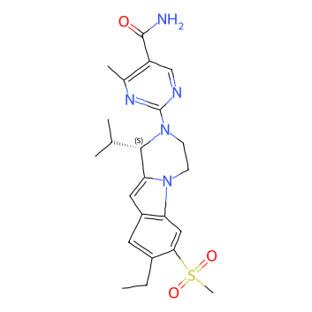 CCc1cc2cc3n(c2cc1S(C)(=O)=O)CCN(c1ncc(C(N)=O)c(C)n1)[C@H]3C(C)C